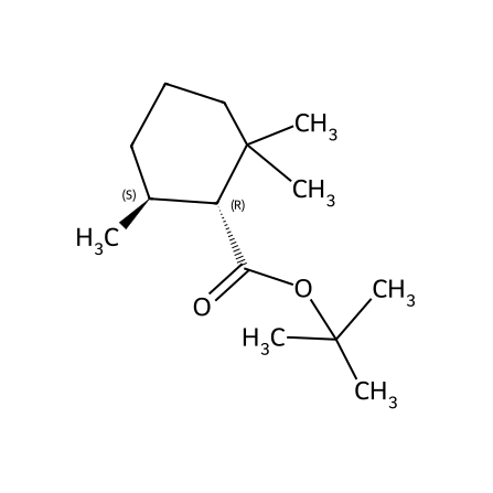 C[C@H]1CCCC(C)(C)[C@@H]1C(=O)OC(C)(C)C